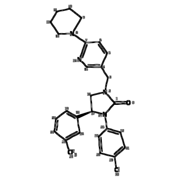 O=C1N(Cc2ccc(N3CCCCC3)nc2)C[C@H](c2cccc(C(F)(F)F)c2)N1c1ccc(Cl)cc1